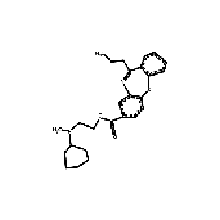 CCCC1=Nc2cc(C(=O)NCCN(C)C3CCCCC3)ccc2Sc2ccccc21